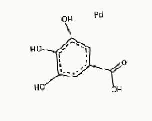 O=C(O)c1cc(O)c(O)c(O)c1.[Pd]